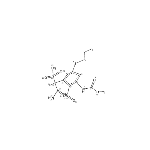 CCCSc1cc(NC(=O)OC)c([N+](=O)[O-])c(C(C)(C(=N)N)S(=O)(=O)O)c1